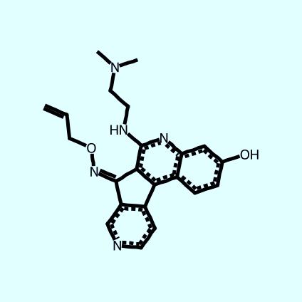 C=CCON=C1c2cnccc2-c2c1c(NCCN(C)C)nc1cc(O)ccc21